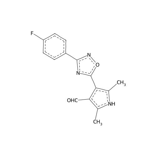 Cc1[nH]c(C)c(-c2nc(-c3ccc(F)cc3)no2)c1C=O